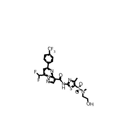 Cc1nc(NC(=O)c2cnn3c(C(F)F)cc(-c4ccc(C(F)(F)F)cc4)nc23)sc1S(=O)(=O)N(C)CCO